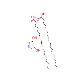 CCCCCCCCCCCCCCCCCC(=O)O.CCCCCCCCCCCCCCCCCC(=O)O.CN(CCO)CCO